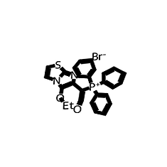 CCOc1c(C(=C=O)[P+](c2ccccc2)(c2ccccc2)c2ccccc2)nc2sccn12.[Br-]